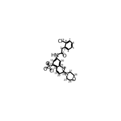 O=C(Cc1ccccc1Cl)Nc1cc(S(=O)(=O)Cl)c2ccc(N3CCOCC3)nc2c1